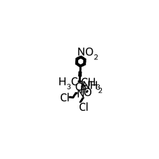 CC(C)(C#Cc1ccc([N+](=O)[O-])cc1)OP(N)(=O)N(CCCl)CCCl